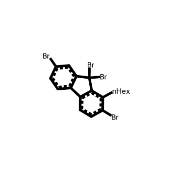 CCCCCCc1c(Br)ccc2c1C(Br)(Br)c1cc(Br)ccc1-2